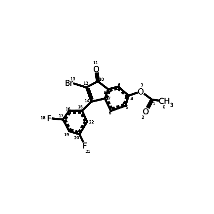 CC(=O)Oc1ccc2c(c1)C(=O)C(Br)=C2c1cc(F)cc(F)c1